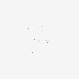 COc1c(CC2C=CC=CC2)cc(CC2C=CC=CC2)cc1Pc1ccccc1C(C)=O